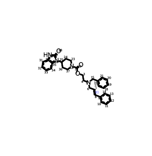 O=C(OCCN(C/C=C/c1ccccc1)Cc1ccccc1)N1CCC(n2c(=O)[nH]c3ccccc32)CC1